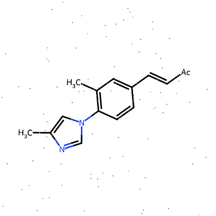 CC(=O)/C=C/c1ccc(-n2cnc(C)c2)c(C)c1